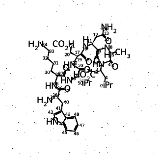 CC(C)C[C@H](NC(=O)[C@H](C)NC(=O)[C@H](CC(N)=O)NC(=O)[C@H](CC(=O)O)NC(=O)[C@@H](NC(=O)[C@H](CCCCN)NC(=O)[C@@H](N)Cc1c[nH]c2ccccc12)C(C)C)C(=O)O